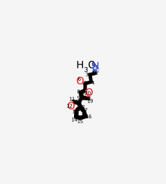 C/N=C\CCC(=O)c1cc(-c2coc3ccccc23)co1